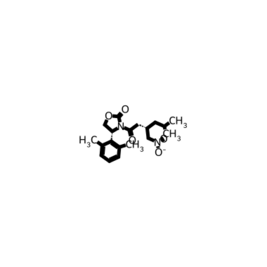 Cc1cccc(C)c1[C@@H]1COC(=O)N1C(=O)C[C@H](CC(C)C)C[N+](=O)[O-]